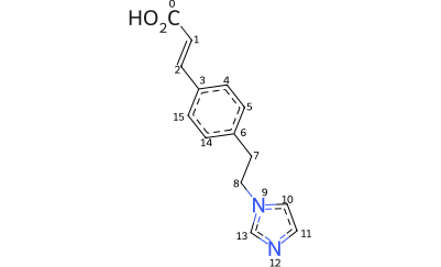 O=C(O)/C=C/c1ccc(CCn2ccnc2)cc1